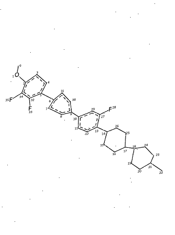 COc1ccc(-c2ccc(-c3ccc(C4CCC(C5CCC(C)CC5)CC4)c(F)c3)cc2)c(F)c1F